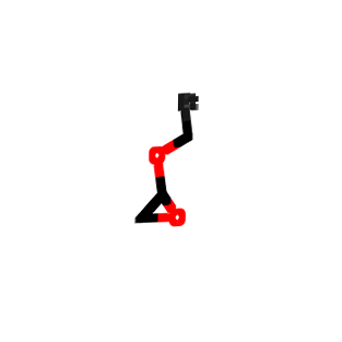 [CH2]CCOC1CO1